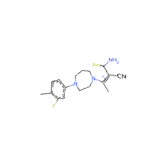 C/C(=C(\C#N)C(N)=S)N1CCCN(c2ccc(C)c(F)c2)CC1